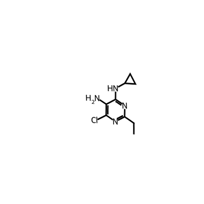 CCc1nc(Cl)c(N)c(NC2CC2)n1